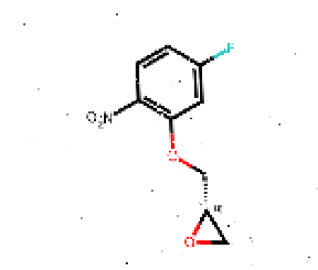 O=[N+]([O-])c1ccc(F)cc1OC[C@@H]1CO1